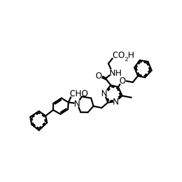 Cc1nc(CC2CCN(C3(C=O)C=CC(c4ccccc4)C=C3)CC2)nc(C(=O)NCC(=O)O)c1OCc1ccccc1